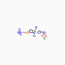 CC(OC(=O)Nc1ccc(-c2c(C#N)c3ccc(OCCCc4ncn[nH]4)cc3n2C2CCC2)cc1)C1CC1